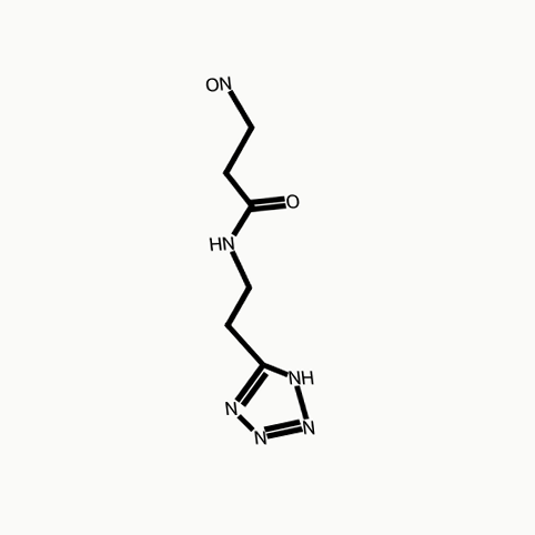 O=NCCC(=O)NCCc1nnn[nH]1